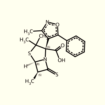 Cc1noc(-c2ccccc2)c1[C@@]1(C(=O)O)N2C(=S)[C@@H](C)[C@H]2SC1(C)C